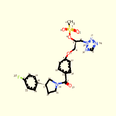 CS(=O)(=O)O[C@H](COc1ccc(C(=O)N2CC[C@H](c3ccc(F)cc3)C2)cc1)Cn1ncnn1